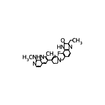 CCc1nc2ccc(CN3CC=C(c4cc5ccnc(NC)c5nc4C)CC3)c(F)c2[nH]c1=O